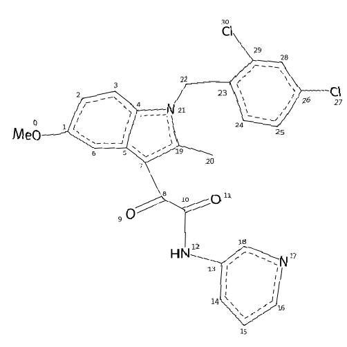 COc1ccc2c(c1)c(C(=O)C(=O)Nc1cccnc1)c(C)n2Cc1ccc(Cl)cc1Cl